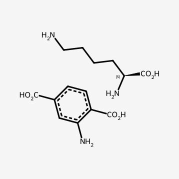 NCCCC[C@H](N)C(=O)O.Nc1cc(C(=O)O)ccc1C(=O)O